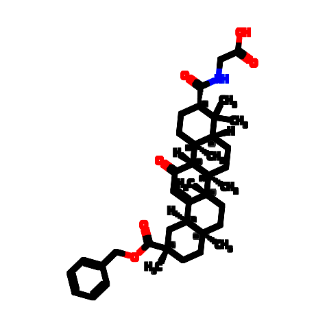 CC1(C)[C@@H](C(=O)NCC(=O)O)CC[C@]2(C)[C@H]3C(=O)C=C4[C@@H]5C[C@@](C)(C(=O)OCc6ccccc6)CC[C@]5(C)CC[C@@]4(C)[C@]3(C)CC[C@@H]12